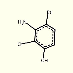 C[CH]c1ccc(O)c(Cl)c1N